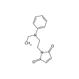 CCN(CCN1C(=O)C=CC1=O)c1ccccc1